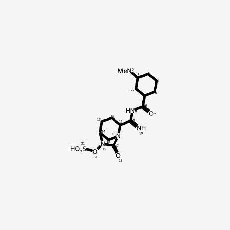 CNC1CCCC(C(=O)NC(=N)C2CCC3CN2C(=O)N3OS(=O)(=O)O)C1